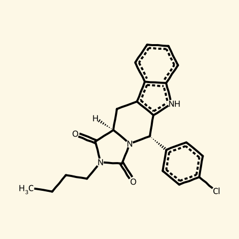 CCCCN1C(=O)[C@H]2Cc3c([nH]c4ccccc34)[C@H](c3ccc(Cl)cc3)N2C1=O